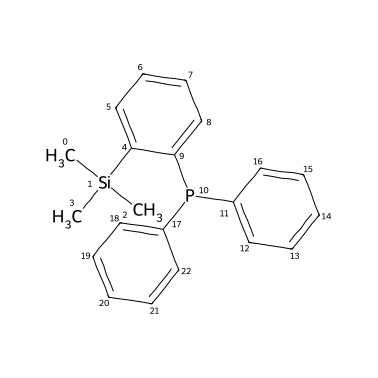 C[Si](C)(C)c1ccccc1P(c1ccccc1)c1ccccc1